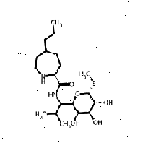 CCCC1CCN[C@H](C(=O)N[C@H](C(C)C)[C@H]2O[C@H](SC)[C@H](O)[C@@H](O)[C@H]2O)CC1